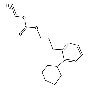 C=COC(=O)OCCCc1ccccc1C1CCCCC1